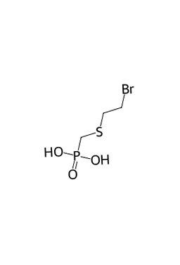 O=P(O)(O)CSCCBr